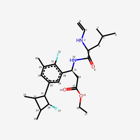 C=CNC(CC(C)C)C(=O)N[C@@H](CC(=O)OCC)c1cc(C2C(C)C(C)[C@@H]2F)cc(C)c1F